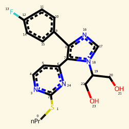 CCCSc1nccc(-c2c(-c3ccc(F)cc3)ncn2C(CO)CO)n1